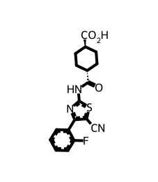 N#Cc1sc(NC(=O)[C@H]2CC[C@H](C(=O)O)CC2)nc1-c1ccccc1F